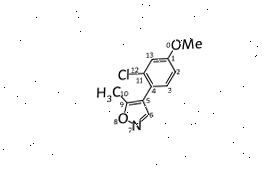 COc1ccc(-c2cnoc2C)c(Cl)c1